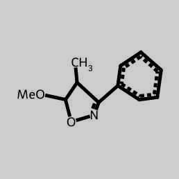 COC1ON=C(c2ccccc2)C1C